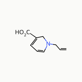 C=CCN1C=CC=C(C(=O)O)C1